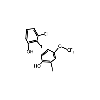 Oc1ccc(OC(F)(F)F)cc1I.Oc1cccc(Cl)c1I